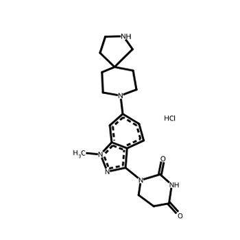 Cl.Cn1nc(N2CCC(=O)NC2=O)c2ccc(N3CCC4(CCNC4)CC3)cc21